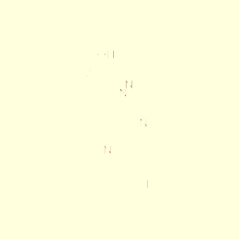 Cc1cc(-c2ncc(-n3cc(C(=O)O)cn3)cc2C#N)ccc1F